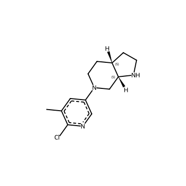 Cc1cc(N2CC[C@@H]3CCN[C@@H]3C2)cnc1Cl